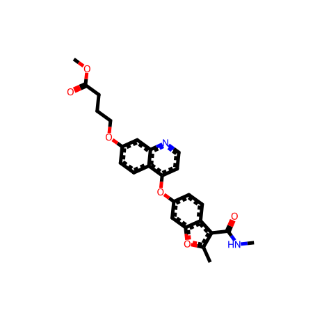 CNC(=O)c1c(C)oc2cc(Oc3ccnc4cc(OCCCC(=O)OC)ccc34)ccc12